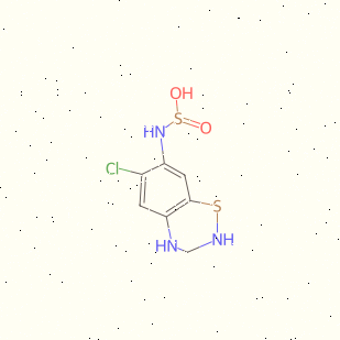 O=S(O)Nc1cc2c(cc1Cl)NCNS2